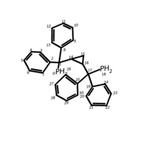 PC(c1ccccc1)(c1ccccc1)C1CC1C(P)(c1ccccc1)c1ccccc1